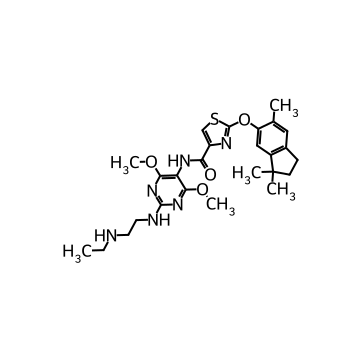 CCNCCNc1nc(OC)c(NC(=O)c2csc(Oc3cc4c(cc3C)CCC4(C)C)n2)c(OC)n1